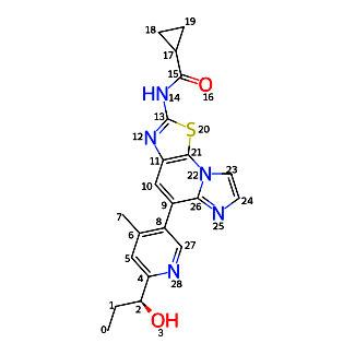 CC[C@H](O)c1cc(C)c(-c2cc3nc(NC(=O)C4CC4)sc3n3ccnc23)cn1